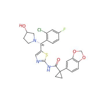 O=C(Nc1ncc([C@@H](c2ccc(F)cc2Cl)N2CCC(O)C2)s1)C1(c2ccc3c(c2)OCO3)CC1